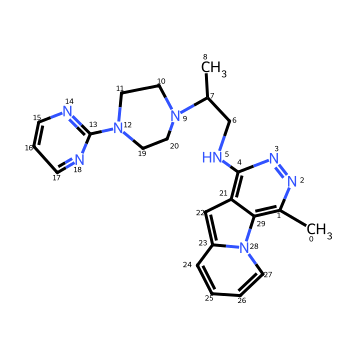 Cc1nnc(NCC(C)N2CCN(c3ncccn3)CC2)c2cc3ccccn3c12